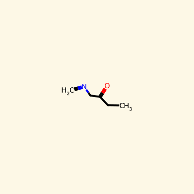 C=NCC(=O)CC